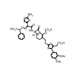 CC(=O)Oc1ccc(-c2nc(SCC3=C(OC(=O)O)N4C(=O)[C@@H](NC(=O)C(=NOC(C(=O)O)c5ccccc5)c5csc(N)n5)[C@@H]4SC3)sc2CC(=O)O)cc1OC(C)=O